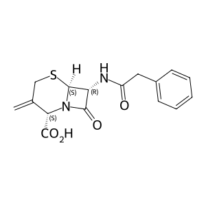 C=C1CS[C@H]2[C@H](NC(=O)Cc3ccccc3)C(=O)N2[C@@H]1C(=O)O